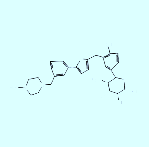 CS[C@H]1C(c2ccc(C)c(Cc3ccc(-c4cccc(CN5CCN(C)CC5)c4)s3)c2)O[C@H](O)[C@@H](O)[C@@H]1O